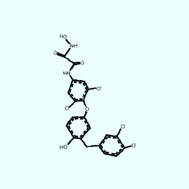 O=C(NO)C(=O)Nc1cc(Cl)c(Oc2ccc(O)c(Cc3ccc(Cl)c(Cl)c3)c2)c(Cl)c1